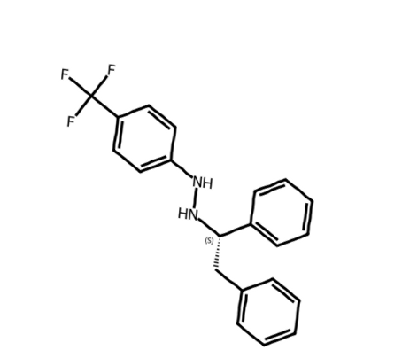 FC(F)(F)c1ccc(NN[C@@H](Cc2ccccc2)c2ccccc2)cc1